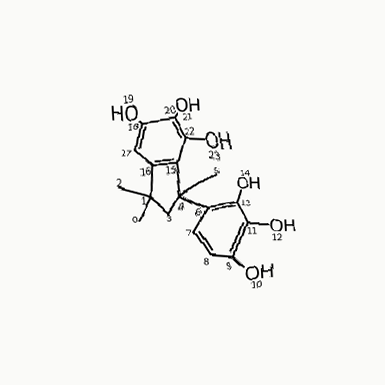 CC1(C)CC(C)(c2ccc(O)c(O)c2O)c2c1cc(O)c(O)c2O